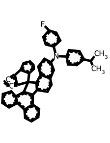 CC(C)c1ccc(N(c2ccc(F)cc2)c2ccc3c4c(ccc3c2)-c2c(c3ccccc3c3ccccc23)C42c3ccccc3-c3ccccc32)cc1